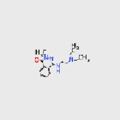 CCN(CC)CCNc1nn(C)c(=O)c2ccccc12